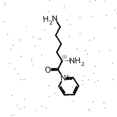 NCCCC[C@H](N)C(=O)[n+]1ccccc1